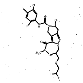 CC1Cc2nn3c(c2CN1C(=O)Nc1cc(Cl)c(F)cc1F)C(=O)N(C)OC(COCC(F)F)C3